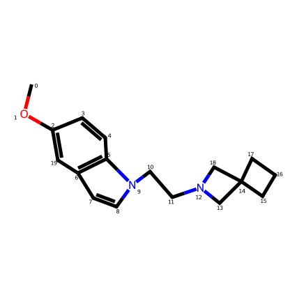 COc1ccc2c(ccn2CCN2CC3(CCC3)C2)c1